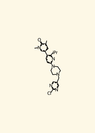 Cc1cc(-c2ccc(N3CCN(Cc4cnc(Cl)nc4)CC3)nc2C(C)C)cn(C)c1=O